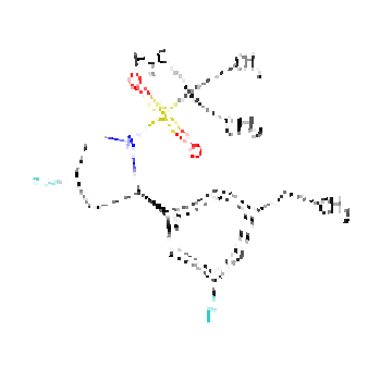 CCc1cc(F)cc([C@H]2C[C@H](F)CN2S(=O)(=O)C(C)(C)C)c1